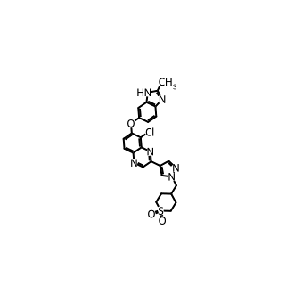 Cc1nc2ccc(Oc3ccc4ncc(-c5cnn(CC6CCS(=O)(=O)CC6)c5)nc4c3Cl)cc2[nH]1